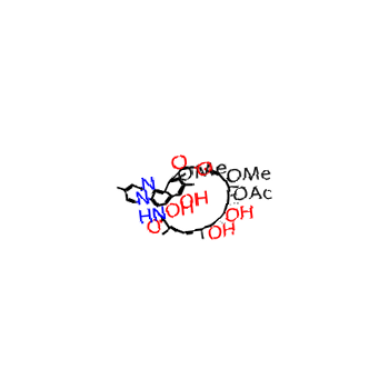 COc1c(C)c(O)c2c(O)c3c4c(nc5cc(C)ccn54)c2c1C(=O)CO/C=C/[C@H](OC)[C@@H](C)[C@@H](OC(C)=O)[C@H](C)[C@H](O)[C@H](C)[C@@H](O)[C@@H](C)/C=C/C=C(/C)C(=O)N3